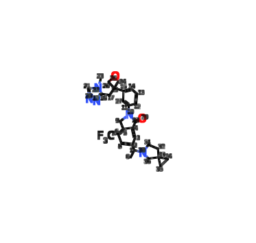 CC(c1cc2c(c(C(F)(F)F)c1)CN(c1cccc(C3(Cc4nncn4C)COC3)c1)C2=O)N1CCC2(CC2)C1